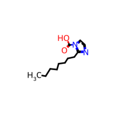 CCCCCCCCc1nccn1C(=O)O